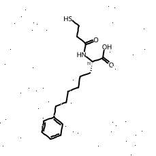 O=C(CCS)N[C@@H](CCCCCCc1ccccc1)C(=O)O